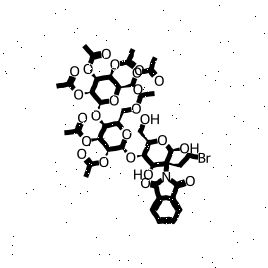 CC(=O)OC[C@H]1O[C@H](O[C@@H]2[C@H](OC(C)=O)[C@@H](OC(C)=O)[C@H](O[C@@H]3[C@@H](CO)O[C@@H](O)[C@](CCBr)(N4C(=O)c5ccccc5C4=O)[C@H]3O)O[C@@H]2COC(C)=O)[C@H](OC(C)=O)[C@@H](OC(C)=O)[C@H]1OC(C)=O